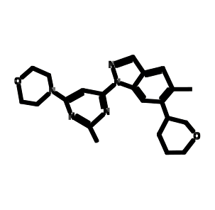 Cc1nc(N2CCOCC2)cc(-n2ncc3cc(C)c(C4CCCOC4)cc32)n1